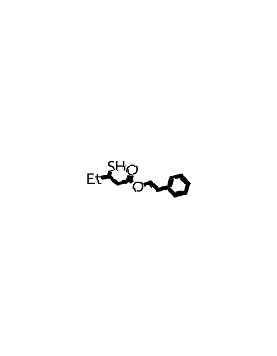 CCC(S)CC(=O)OCCc1ccccc1